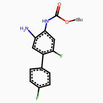 CC(C)(C)OC(=O)Nc1cc(F)c(-c2ccc(F)cc2)cc1N